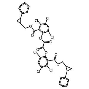 O=C(Oc1c(Cl)cc(Cl)c(Cl)c1C(=O)OCC1CC1c1ccccc1)C(=O)Oc1c(Cl)cc(Cl)c(Cl)c1C(=O)OCC1CC1c1ccccc1